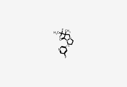 CC(F)(F)C1(C)CN2CC[C@H](c3cncc(F)c3)N2C1=O